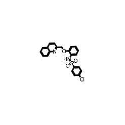 O=S(=O)(Nc1ccccc1OCc1ccc2ccccc2n1)c1ccc(Cl)cc1